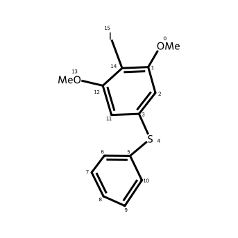 COc1cc(Sc2ccccc2)cc(OC)c1I